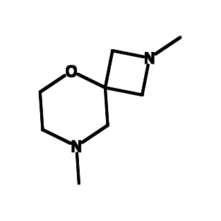 CN1CCOC2(C1)CN(C)C2